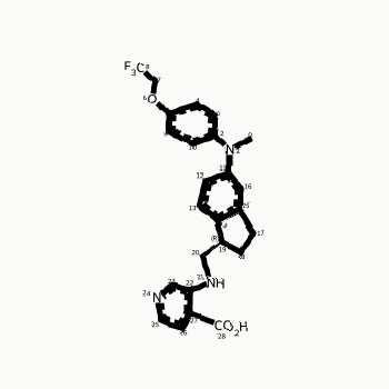 CN(c1ccc(OCC(F)(F)F)cc1)c1ccc2c(c1)CC[C@H]2CNc1cnccc1C(=O)O